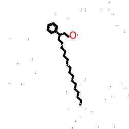 CCCCCCCCCCCCCCCCCC(CC[O])c1ccccc1